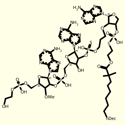 CCCCCCCCCCCCCCCCC(C)(C)C(=O)OCCSP(=O)(O)OC1CO[C@@H](n2cnc3c(N)ncnc32)C1OCCCOP(O)(=S)OC1C(O)[C@@H](COP(=O)(O)OC2C(OC)[C@@H](COP(=O)(O)OCCO)O[C@H]2n2cnc3c(N)ncnc32)O[C@H]1n1cnc2c(N)ncnc21